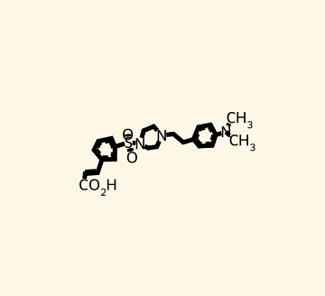 CN(C)c1ccc(CCN2CCN(S(=O)(=O)c3cccc(C=CC(=O)O)c3)CC2)cc1